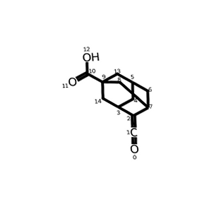 O=C=C1C2CC3CC1CC(C(=O)O)(C3)C2